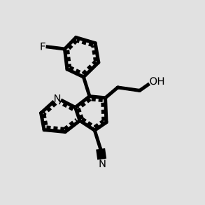 N#Cc1cc(CCO)c(-c2cccc(F)c2)c2ncccc12